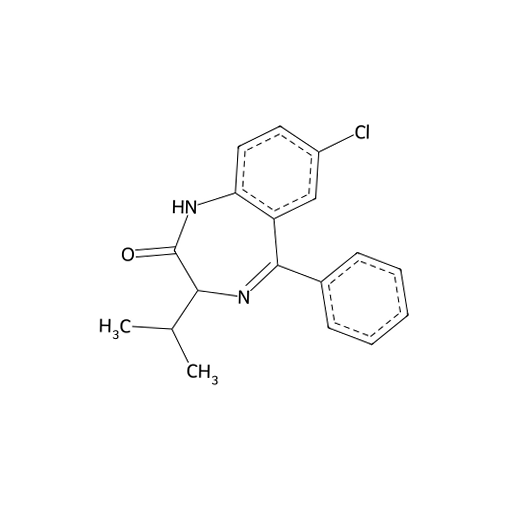 CC(C)C1N=C(c2ccccc2)c2cc(Cl)ccc2NC1=O